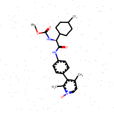 Cc1cc[n+]([O-])c(C)c1-c1ccc(NC(=O)[C@@H](NC(=O)OC(C)(C)C)C2CCC(C(F)(F)F)CC2)cc1